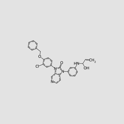 C=CC(O)Nc1cccc(-n2c(=O)n(-c3ccc(OCc4ccccc4)c(Cl)c3)c3cnccc32)c1